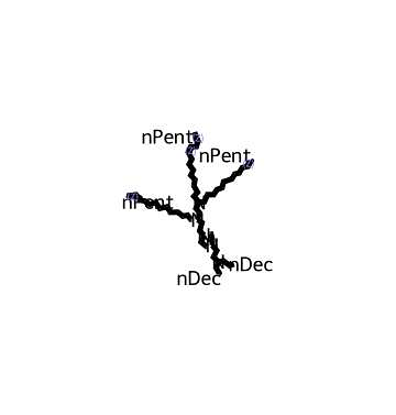 CCCCC/C=C\C/C=C\CCCCCCCCN(CCCCCCCCCC/C=C\CCCCC)CCN(CCCCCCCCCCC/C=C\CCCCC)CCN1CCN(CCN(CCCCCCCCCCCC)CCCCCCCCCCCC)CC1